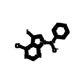 [O-][S+](c1ccccc1)n1cc(I)c2c(Cl)ncnc21